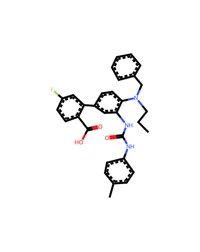 CCCN(Cc1ccccc1)c1ccc(-c2cc(F)ccc2C(=O)O)cc1NC(=O)Nc1ccc(C)cc1